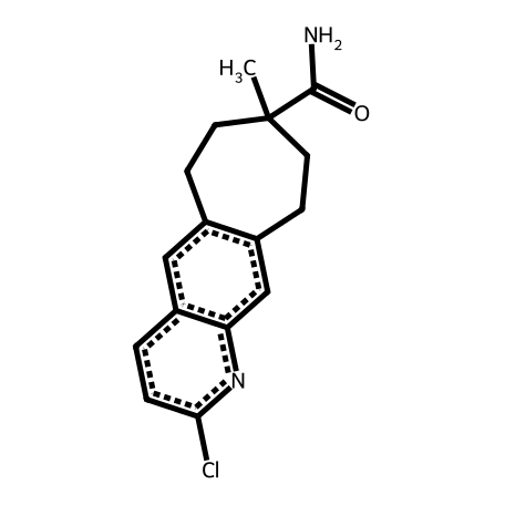 CC1(C(N)=O)CCc2cc3ccc(Cl)nc3cc2CC1